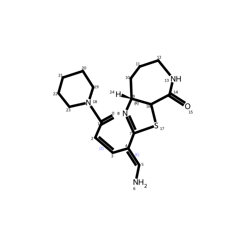 C=C(/C=C\C(=C/N)C1=N[C@@H]2CCCNC(=O)C2S1)N1CCCCC1